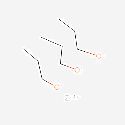 CCC[O-].CCC[O-].CCC[O-].[Zr+4]